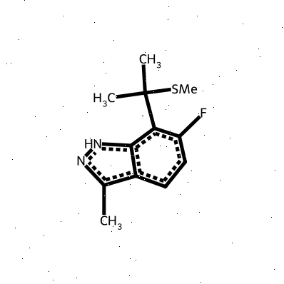 CSC(C)(C)c1c(F)ccc2c(C)n[nH]c12